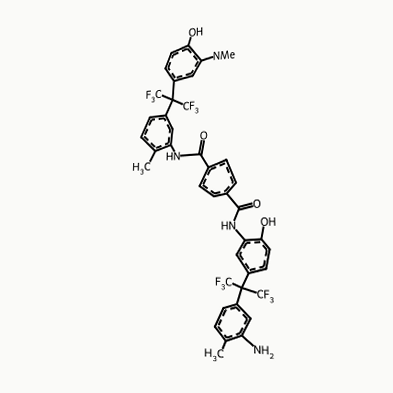 CNc1cc(C(c2ccc(C)c(NC(=O)c3ccc(C(=O)Nc4cc(C(c5ccc(C)c(N)c5)(C(F)(F)F)C(F)(F)F)ccc4O)cc3)c2)(C(F)(F)F)C(F)(F)F)ccc1O